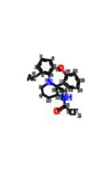 CC(=O)c1cccc2c1N1CCCC(NC(=O)C(F)(F)F)[C@H]1c1ccccc1O2